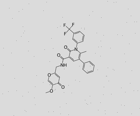 COc1coc(CNC(=O)c2cc(-c3ccccc3)c(C)n(-c3cccc(C(F)(F)F)c3)c2=O)cc1=O